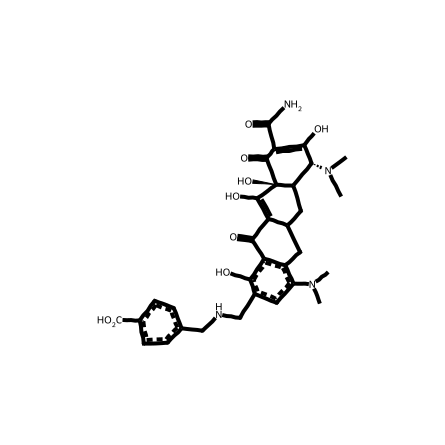 CN(C)c1cc(CNCc2ccc(C(=O)O)cc2)c(O)c2c1CC1CC3[C@@H](N(C)C)C(O)=C(C(N)=O)C(=O)[C@@]3(O)C(O)=C1C2=O